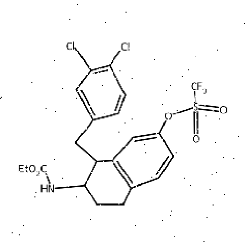 CCOC(=O)NC1CCc2ccc(OS(=O)(=O)C(F)(F)F)cc2C1Cc1ccc(Cl)c(Cl)c1